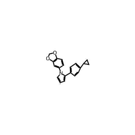 [c]1cc(-c2ccc(C3CC3)cc2)n(-c2ccc3c(c2)OCO3)c1